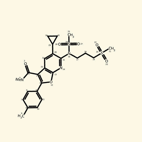 CNC(=O)c1c(-c2ccc(C)cc2)oc2nc(N(CCCS(C)(=O)=O)S(C)(=O)=O)c(C3CC3)cc12